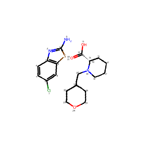 Nc1nc2ccc(Cl)cc2s1.O=C(O)[C@@H]1CCCCN1CC1CCOCC1